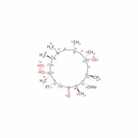 CC[C@H]1OC(=O)[C@H](C)[C@@H](OC)[C@H](C)C[C@](C)(O)C[C@@H](C)CN(C)[C@H](C)[C@@H](O)[C@]1(C)O